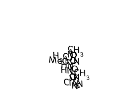 CO[C@@H](C)c1c(NC(=O)Nc2cc(Cl)c(-n3nccn3)nc2C)cnc2ccc(C)nc12